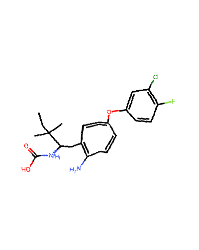 CC(C)(C)C(NC(=O)O)c1cc(Oc2ccc(F)c(Cl)c2)ccc1N